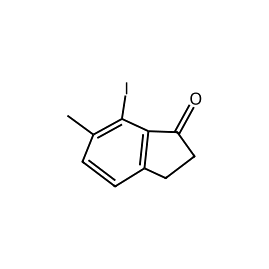 Cc1ccc2c(c1I)C(=O)CC2